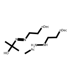 CC(C)=O.CCCCCCCCCCCCN=NC(C)(C)O.CCCCCCCCCCCCNN